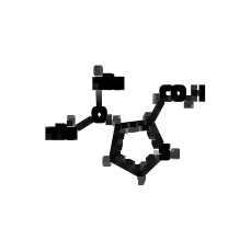 CCCCOCCCC.O=C(O)c1cccs1